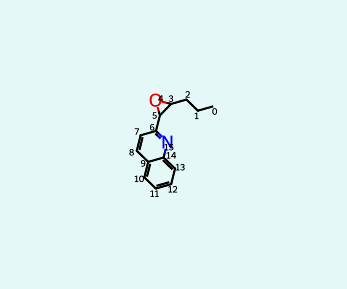 CCCC1OC1c1ccc2ccccc2n1